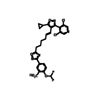 O=C(O)c1cc(-c2noc(CCCC/C=C/c3c(-c4c(Cl)cncc4Cl)noc3C3CC3)n2)ccc1OC(F)F